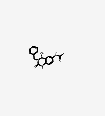 CC(=O)Nc1ccc2c(c1)B(O)N(Cc1ccccc1)C(=O)N2